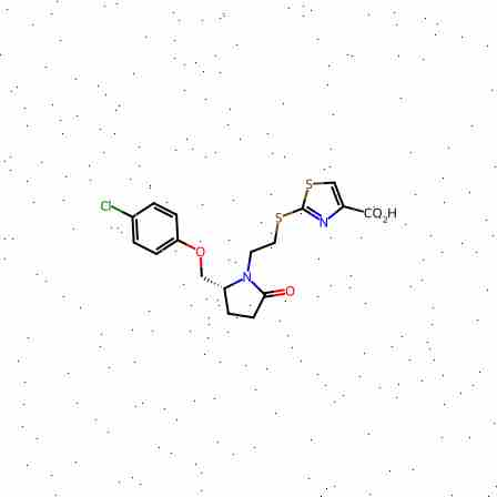 O=C(O)c1csc(SCCN2C(=O)CC[C@@H]2COc2ccc(Cl)cc2)n1